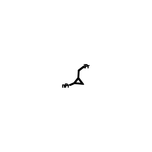 CCCC1CC1CC(C)C